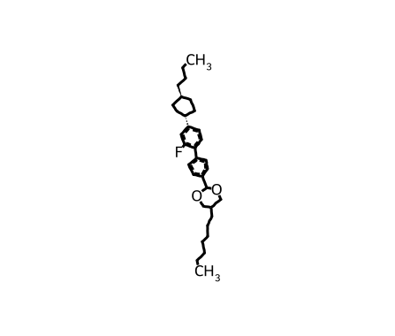 CCCCCCCC1COC(c2ccc(-c3ccc([C@H]4CC[C@H](CCCC)CC4)cc3F)cc2)OC1